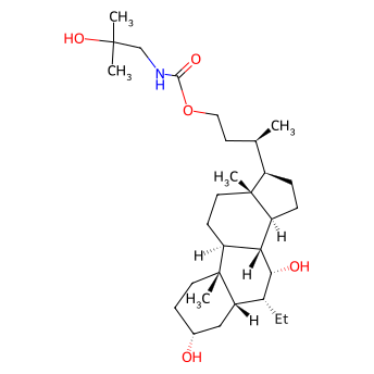 CC[C@H]1[C@@H](O)[C@@H]2[C@H](CC[C@]3(C)[C@@H]([C@H](C)CCOC(=O)NCC(C)(C)O)CC[C@@H]23)[C@@]2(C)CC[C@@H](O)C[C@@H]12